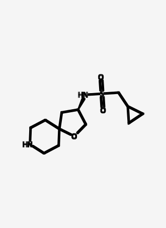 O=S(=O)(CC1CC1)N[C@H]1COC2(CCNCC2)C1